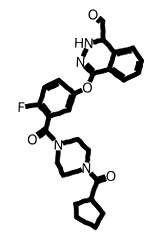 O=CC1NN=C(Oc2ccc(F)c(C(=O)N3CCN(C(=O)C4CCCC4)CC3)c2)c2ccccc21